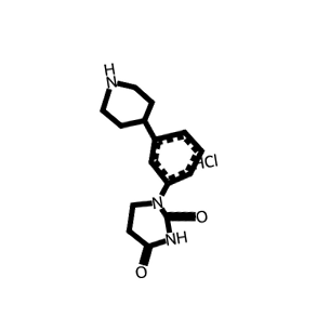 Cl.O=C1CCN(c2cccc(C3CCNCC3)c2)C(=O)N1